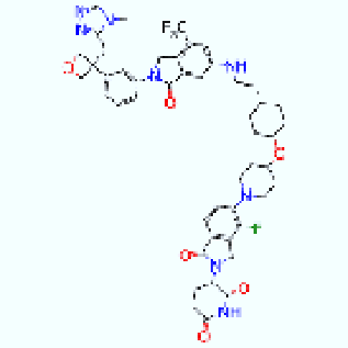 Cn1cnnc1CC1(c2cccc(N3Cc4c(cc(NCC[C@H]5CC[C@H](OC6CCN(c7ccc8c(c7F)CN(C7CCC(=O)NC7=O)C8=O)CC6)CC5)cc4C(F)(F)F)C3=O)c2)COC1